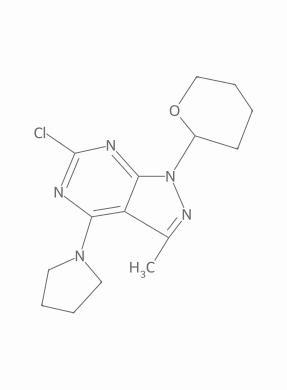 Cc1nn(C2CCCCO2)c2nc(Cl)nc(N3CCCC3)c12